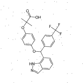 CC(C)(Oc1ccc(OC(c2ccc(C(F)(F)F)cc2)c2cccc3cn[nH]c23)cc1)C(=O)O